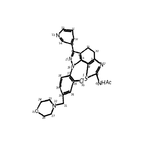 CC(=O)Nc1nc2c(s1)-c1c(c(-c3cccnc3)nn1-c1ccc(CN3CCOCC3)cc1Cl)CC2